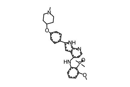 COc1cccc(Nc2ccnc3[nH]c(-c4ccc(OC5CCN(C)CC5)cc4)cc23)c1P(C)(C)=O